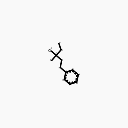 CCC(C)(Cl)CCc1ccccc1